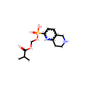 CC(C)C(=O)OCOP(=O)(O)c1ccc2c(n1)CCNC2